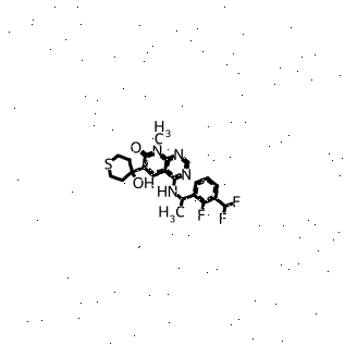 CC(Nc1ncnc2c1cc(C1(O)CCSCC1)c(=O)n2C)c1cccc(C(F)F)c1F